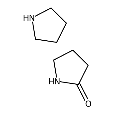 C1CCNC1.O=C1CCCN1